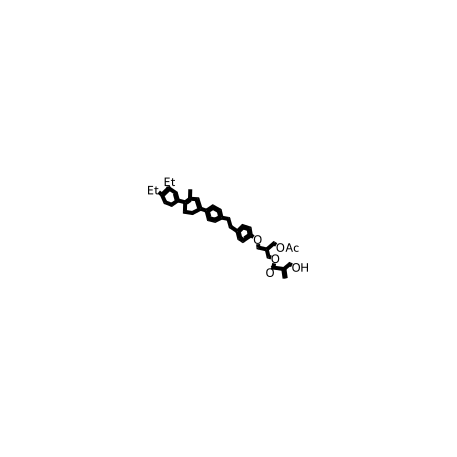 C=C(CO)C(=O)OCC(COC(C)=O)COc1ccc(CCc2ccc(C3=CC(C)=C(C4=CC(CC)=C(CC)CC4)CC3)cc2)cc1